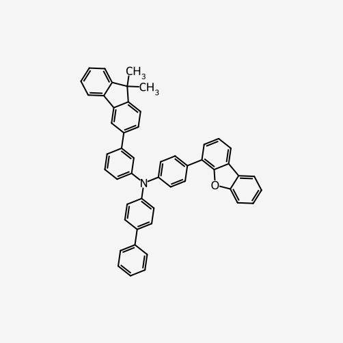 CC1(C)c2ccccc2-c2cc(-c3cccc(N(c4ccc(-c5ccccc5)cc4)c4ccc(-c5cccc6c5oc5ccccc56)cc4)c3)ccc21